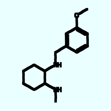 CNC1CCCCC1NCc1cccc(OC)c1